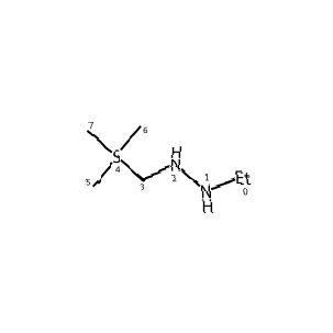 CCNNCS(C)(C)C